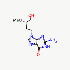 CO[C@H](CO)CCn1cnc2c(=O)[nH]c(N)nc21